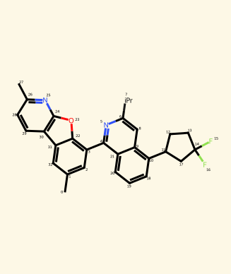 Cc1cc(-c2nc(C(C)C)cc3c(C4CCC(F)(F)C4)cccc23)c2oc3nc(C)ccc3c2c1